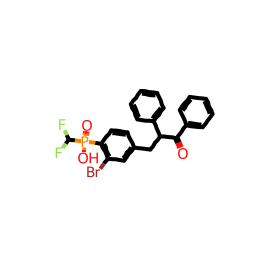 O=C(c1ccccc1)C(Cc1ccc(P(=O)(O)C(F)F)c(Br)c1)c1ccccc1